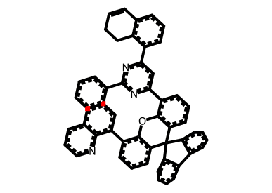 C1=Cc2cccc(-c3cc(-c4cccc5c4Oc4c(-c6cccc7cccnc67)cccc4C54c5ccccc5-c5ccccc54)nc(-c4ccccc4)n3)c2CC1